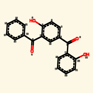 O=C(c1ccc(O)c(C(=O)c2ccccc2)c1)c1ccccc1O